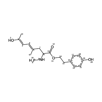 C/C(O)=C\C=C(/C)CC(NP)C(=O)OCCc1ccc(O)cc1